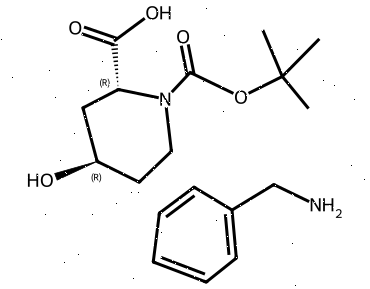 CC(C)(C)OC(=O)N1CC[C@@H](O)C[C@@H]1C(=O)O.NCc1ccccc1